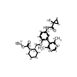 Cc1ncnc(C)c1-c1cc(NC(=O)C2(F)CC2)ccc1OC[C@H]1CCCCN1C(=O)OC(C)(C)C